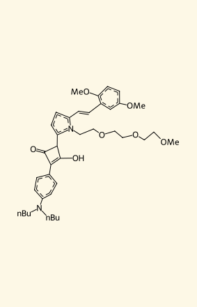 CCCCN(CCCC)c1ccc(C2=C(O)C(c3ccc(C=Cc4cc(OC)ccc4OC)n3CCOCCOCCOC)C2=O)cc1